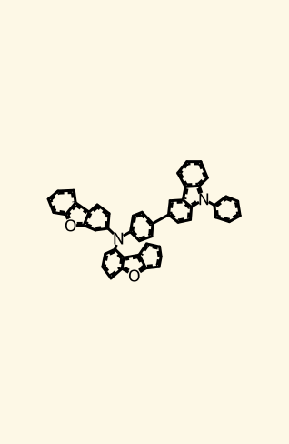 c1ccc(-n2c3ccccc3c3cc(-c4ccc(N(c5ccc6c(c5)oc5ccccc56)c5cccc6oc7ccccc7c56)cc4)ccc32)cc1